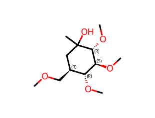 COC[C@H]1CC(C)(O)[C@H](OC)[C@@H](OC)[C@@H]1OC